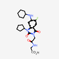 O=C(O)CNC(=O)Cn1c(=O)c2cc(F)c(NC3CCCCC3)cc2n(C2CCCC2)c1=O